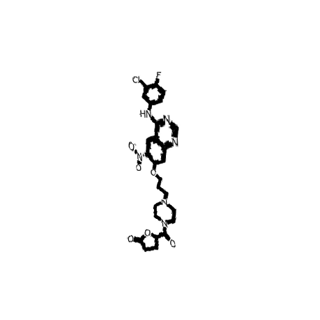 O=C1CCC(C(=O)N2CCN(CCCOc3cc4ncnc(Nc5ccc(F)c(Cl)c5)c4cc3[N+](=O)[O-])CC2)O1